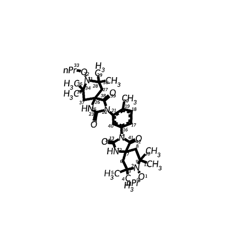 CCCON1C(C)(C)CC2(CC1(C)C)NC(=O)N(c1ccc(C)c(N3C(=O)NC4(CC(C)(C)N(OCCC)C(C)(C)C4)C3=O)c1)C2=O